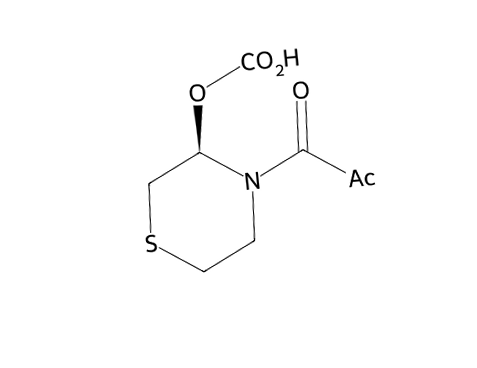 CC(=O)C(=O)N1CCSC[C@H]1OC(=O)O